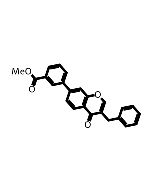 COC(=O)c1cccc(-c2ccc3c(=O)c(Cc4ccccc4)coc3c2)c1